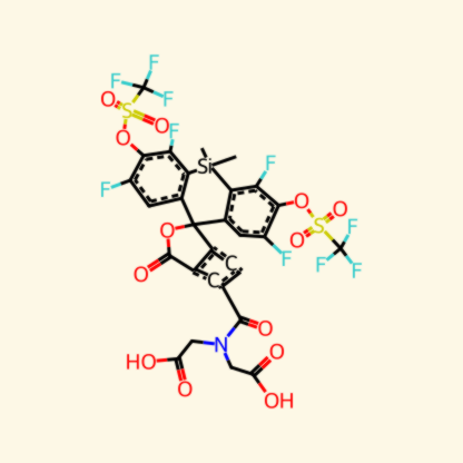 C[Si]1(C)c2c(cc(F)c(OS(=O)(=O)C(F)(F)F)c2F)C2(OC(=O)c3cc(C(=O)N(CC(=O)O)CC(=O)O)ccc32)c2cc(F)c(OS(=O)(=O)C(F)(F)F)c(F)c21